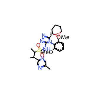 COc1cccc(OC)c1-n1c(NS(=O)(=O)C(C)C(C)c2cnc(C)cn2)nnc1[C@H]1CCCCO1